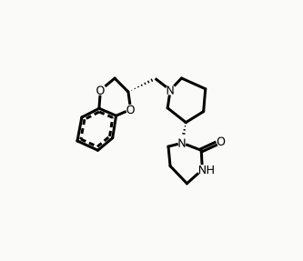 O=C1NCCCN1[C@H]1CCCN(C[C@H]2COc3ccccc3O2)C1